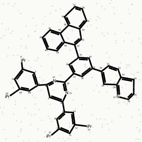 CC(C)c1cc(-c2cc(-c3cc(C(C)C)cc(C(C)C)c3)nc(-c3cc(-c4ccc5cccnc5c4)cc(-c4cc5ccccc5c5ccccc45)c3)n2)cc(C(C)C)c1